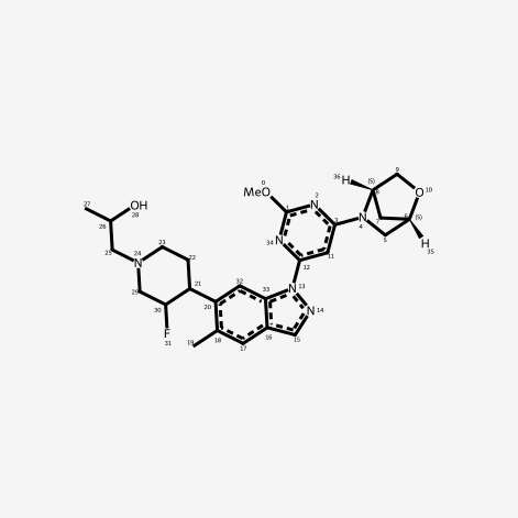 COc1nc(N2C[C@@H]3C[C@H]2CO3)cc(-n2ncc3cc(C)c(C4CCN(CC(C)O)CC4F)cc32)n1